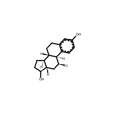 Oc1ccc2c(c1)CC[C@H]1[C@@H]3CCC(O)[C@H]3C[C@H](Cl)[C@H]21